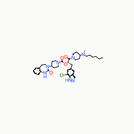 CCCCCCN(C)C1CCN(C(=O)[C@@H](Cc2cc(Cl)c3[nH]ncc3c2)OC(=O)N2CCC(N3CCc4ccccc4NC3=O)CC2)CC1